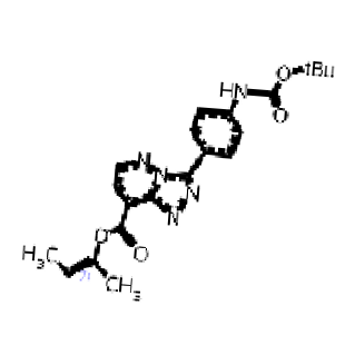 C/C=C(/C)OC(=O)c1ccnn2c(-c3ccc(NC(=O)OC(C)(C)C)cc3)nnc12